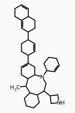 CC1C2CCCCC2C(C2CNC2)CN(C2C=CCCC2)C2CC(C3C=CC(C4C=C5CCC=CC5CC4)CC3)=CCC12